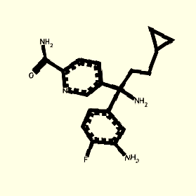 NC(=O)c1ccc(C(N)(CCC2CC2)c2ccc(F)c(N)c2)cn1